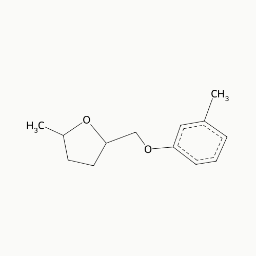 Cc1cccc(OCC2CCC(C)O2)c1